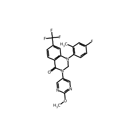 COc1ncc(N2CN(c3ccc(F)cc3C)c3cc(C(F)(F)F)ccc3C2=O)cn1